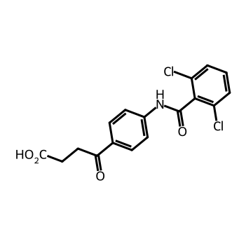 O=C(O)CCC(=O)c1ccc(NC(=O)c2c(Cl)cccc2Cl)cc1